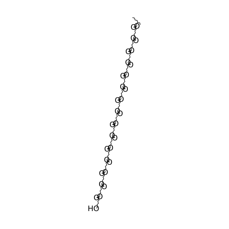 CCCCC(CC)COC(=O)CCCCCOC(=O)CCCCCOC(=O)CCCCCOC(=O)CCCCCOC(=O)CCCCCOC(=O)CCCCCOC(=O)CCCCCOC(=O)CCCCCOC(=O)CCCCCOC(=O)CCCCCOC(=O)CCCCCOC(=O)CCCCCOC(=O)CCCCCOC(=O)CCCCCOC(=O)CCCCCO